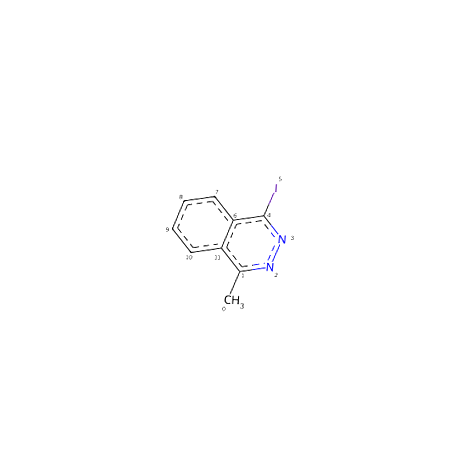 Cc1nnc(I)c2ccccc12